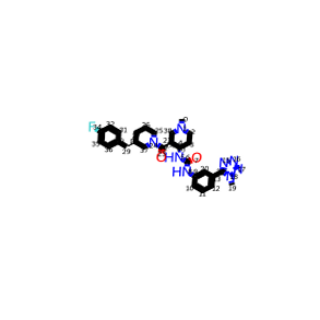 CN1CC[C@@H](NC(=O)Nc2cccc(-c3nnnn3C)c2)[C@@H](C(=O)N2CCC[C@@H](Cc3ccc(F)cc3)C2)C1